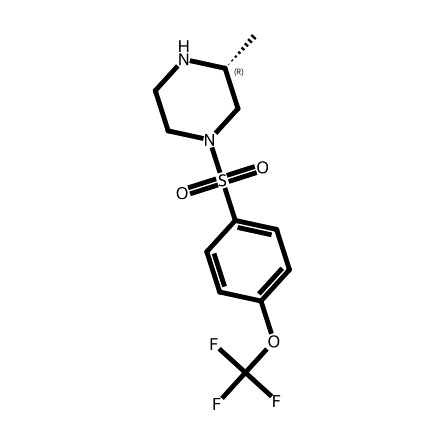 C[C@@H]1CN(S(=O)(=O)c2ccc(OC(F)(F)F)cc2)CCN1